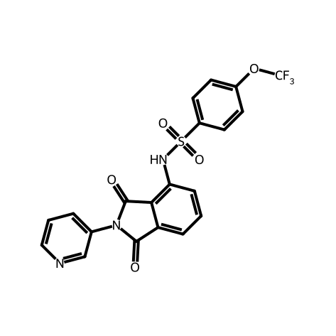 O=C1c2cccc(NS(=O)(=O)c3ccc(OC(F)(F)F)cc3)c2C(=O)N1c1cccnc1